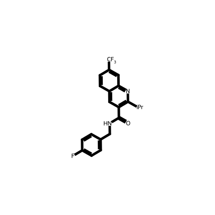 CC(C)c1nc2cc(C(F)(F)F)ccc2cc1C(=O)NCc1ccc(F)cc1